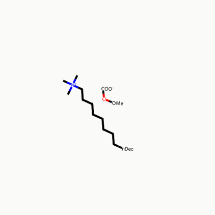 CCCCCCCCCCCCCCCCCC[N+](C)(C)C.COOC(=O)[O-]